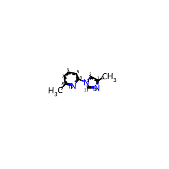 Cc1cn(-c2cccc(C)n2)cn1